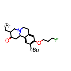 CCCCc1cc2c(cc1OCCCF)CCN1CC(CC(C)C)C(=O)CC21